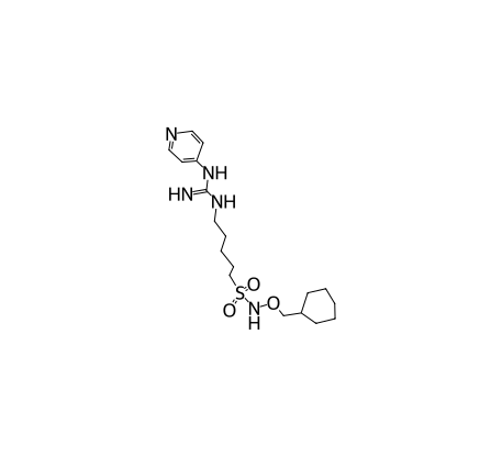 N=C(NCCCCCS(=O)(=O)NOCC1CCCCC1)Nc1ccncc1